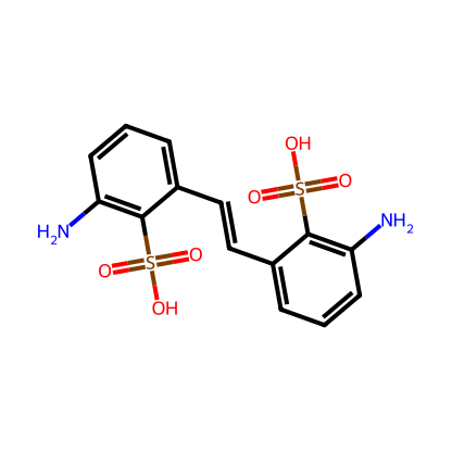 Nc1cccc(C=Cc2cccc(N)c2S(=O)(=O)O)c1S(=O)(=O)O